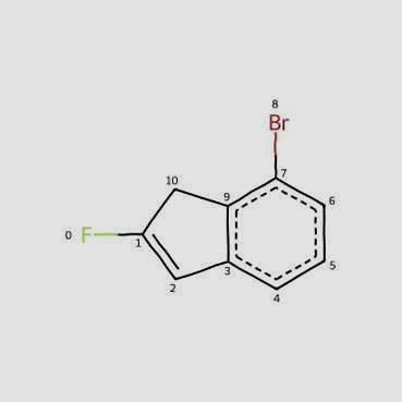 FC1=Cc2cccc(Br)c2C1